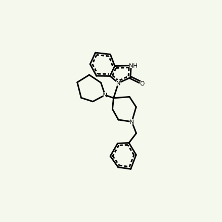 O=c1[nH]c2ccccc2n1C1(N2CCCCC2)CCN(Cc2ccccc2)CC1